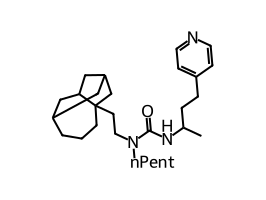 CCCCCN(CCC12CCCC3CC(CC1C3)C2)C(=O)NC(C)CCc1ccncc1